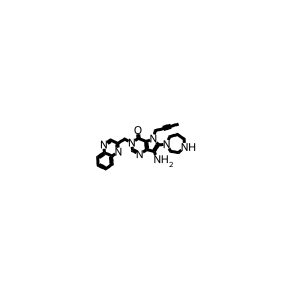 CC#CCn1c(N2CCCNCC2)c(N)c2ncn(Cc3cnc4ccccc4n3)c(=O)c21